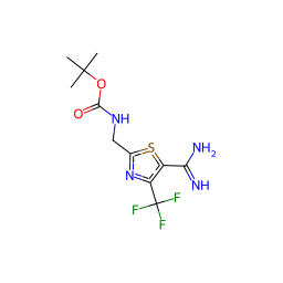 CC(C)(C)OC(=O)NCc1nc(C(F)(F)F)c(C(=N)N)s1